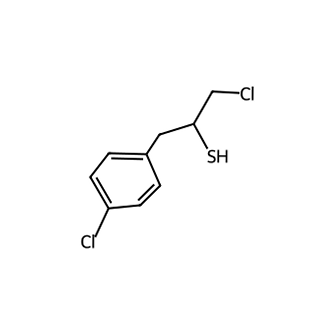 SC(CCl)Cc1ccc(Cl)cc1